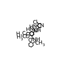 CC(NC(=O)c1cc2c(c3c1OC(C)(C)C3)NC(Nc1c(Cl)cncc1Cl)N2)C1CCCCC1